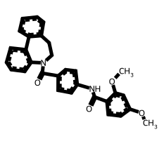 COc1ccc(C(=O)Nc2ccc(C(=O)N3CCc4ccccc4-c4ccccc43)cc2)c(OC)c1